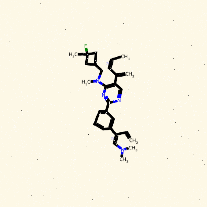 C=C/C(=C\N(C)C)c1cccc(-c2ncc(C(=C)/C=C\C)c(N(C)CC3CC(C)(F)C3)n2)c1